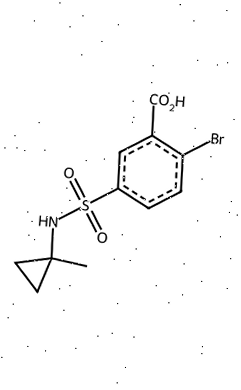 CC1(NS(=O)(=O)c2ccc(Br)c(C(=O)O)c2)CC1